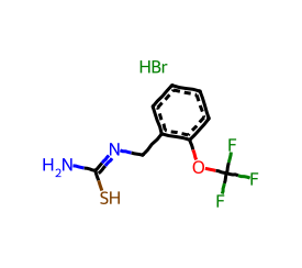 Br.NC(S)=NCc1ccccc1OC(F)(F)F